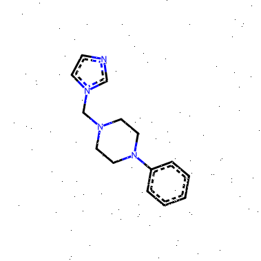 c1ccc(N2CCN(Cn3ccnc3)CC2)cc1